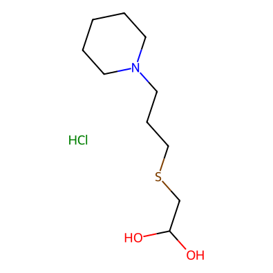 Cl.OC(O)CSCCCN1CCCCC1